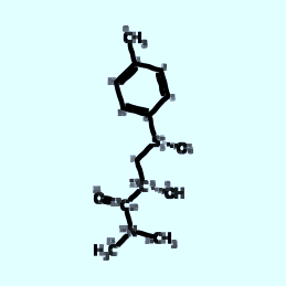 Cc1ccc([S@+]([O-])C[13C@H](O)[13C](=O)N(C)C)cc1